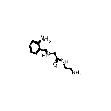 NCCNC(=O)CNCc1ccccc1N